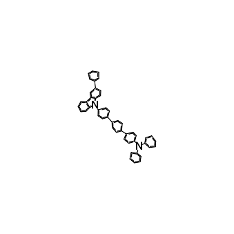 c1ccc(-c2ccc3c(c2)c2ccccc2n3-c2ccc(-c3ccc(-c4ccc(N(c5ccccc5)c5ccccc5)cc4)cc3)cc2)cc1